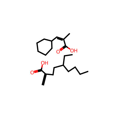 C=C(CCC(CC)CCCC)C(=O)O.CC(=CC1CCCCC1)C(=O)O